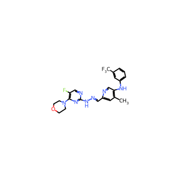 Cc1cc(/C=N/Nc2ncc(F)c(N3CCOCC3)n2)ncc1Nc1cccc(C(F)(F)F)c1